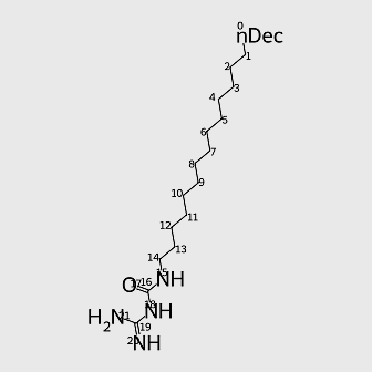 CCCCCCCCCCCCCCCCCCCCCCCCNC(=O)NC(=N)N